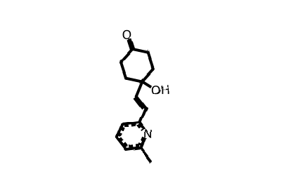 Cc1cccc(/C=C/C2(O)CCC(=O)CC2)n1